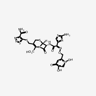 NC(=O)c1nnsc1SCC1=C(C(=O)O)N2C(=O)[C@@H](NC(=O)/C(=N\OCc3cc(=O)c(O)cn3O)c3csc(N)n3)[C@H]2SC1